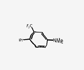 CNc1ccc(C(C)C)c(C(F)(F)F)c1